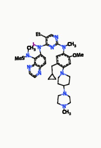 CCc1cnc(N(C)c2cc(CC3CC3)c(N3CCC(N4CCN(C)CC4)CC3)cc2OC)nc1N(I)c1ccc2nccnc2c1N(C)SC